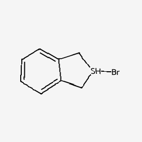 Br[SH]1Cc2ccccc2C1